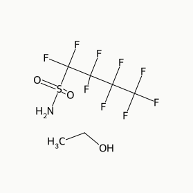 CCO.NS(=O)(=O)C(F)(F)C(F)(F)C(F)(F)C(F)(F)F